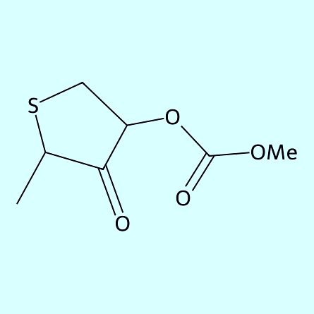 COC(=O)OC1CSC(C)C1=O